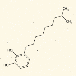 CC(C)CCCCCCCc1cccc(O)c1O